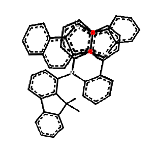 CC1(C)c2ccccc2-c2cccc(N(c3ccccc3-c3cccc4oc5c6ccccc6ccc5c34)c3cccc4c3oc3ccccc34)c21